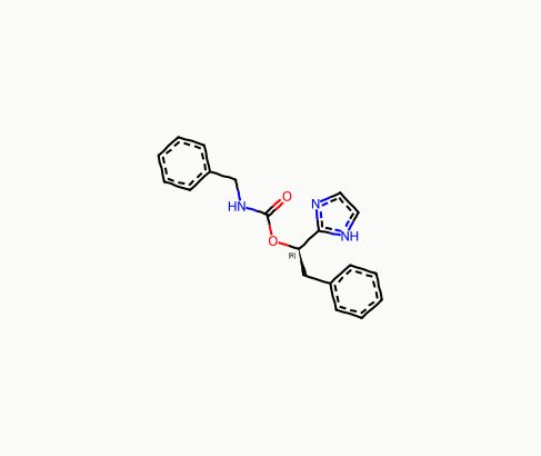 O=C(NCc1ccccc1)O[C@H](Cc1ccccc1)c1ncc[nH]1